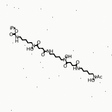 CC(=O)N(O)CCCCCNC(=O)CCC(=O)N(O)CCCCCNC(=O)CCC(=O)N(O)CCCCCNC(=O)OC(C)C